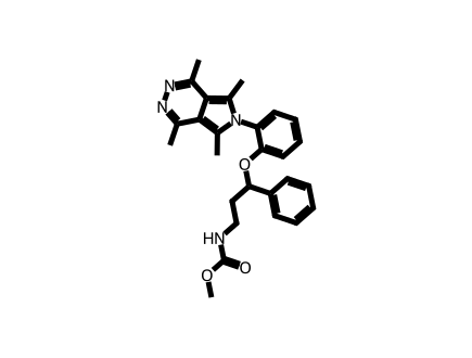 COC(=O)NCCC(Oc1ccccc1-n1c(C)c2c(C)nnc(C)c2c1C)c1ccccc1